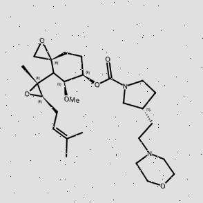 CO[C@H]1C([C@@]2(C)O[C@@H]2CC=C(C)C)[C@]2(CC[C@H]1OC(=O)N1CC[C@H](CCN3CCOCC3)C1)CO2